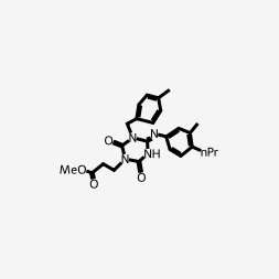 CCCc1ccc(/N=c2\[nH]c(=O)n(CCC(=O)OC)c(=O)n2Cc2ccc(C)cc2)cc1C